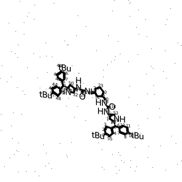 CC(C)(C)c1ccc(C(c2ccc(C(C)(C)C)cc2)[C@H]2C[C@@H](NC(=O)NCC3CCCC(CNC(=O)N[C@H]4CN[C@@H](C(c5ccc(C(C)(C)C)cc5)c5ccc(C(C)(C)C)cc5)C4)C3)CN2)cc1